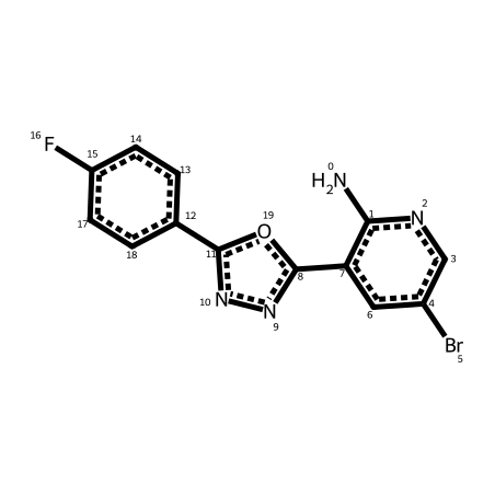 Nc1ncc(Br)cc1-c1nnc(-c2ccc(F)cc2)o1